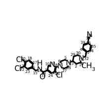 CC1CC(N2CCN(c3ncc(C(=O)NCc4ccc(Cl)c(Cl)c4)cc3Cl)CC2)CCN1Cc1ccc(C#N)cc1